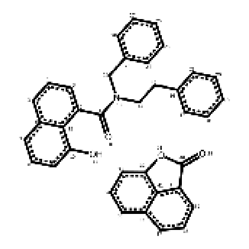 O=C(c1cccc2cccc(O)c12)N(CCc1ccccc1)Cc1ccccc1.O=C1Oc2cccc3cccc1c23